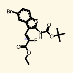 CCOC(=O)/C(F)=C/c1c(NC(=O)OC(C)(C)C)sc2ccc(Br)cc12